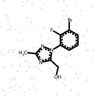 Cc1nc(CO)n(-c2cccc(Br)c2F)n1